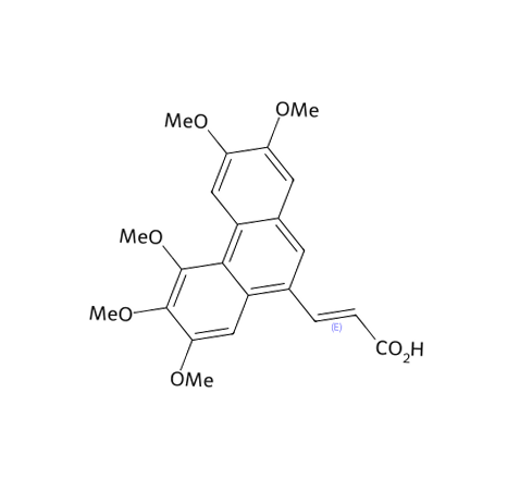 COc1cc2cc(/C=C/C(=O)O)c3cc(OC)c(OC)c(OC)c3c2cc1OC